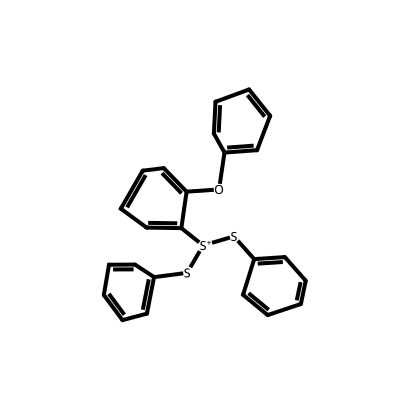 c1ccc(Oc2ccccc2[S+](Sc2ccccc2)Sc2ccccc2)cc1